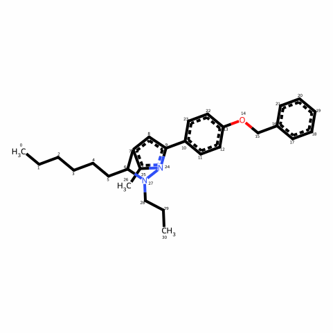 CCCCCCC1c2cc(-c3ccc(OCc4ccccc4)cc3)n(c2C)N1CCC